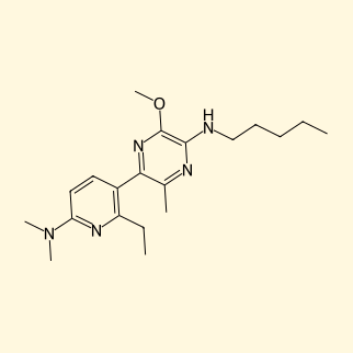 CCCCCNc1nc(C)c(-c2ccc(N(C)C)nc2CC)nc1OC